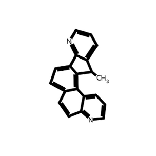 CC1c2cccnc2-c2ccc3ccc4ncccc4c3c21